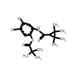 CC(C)(C)C(=O)Sc1cc(Cl)c(Cl)cc1NC(=O)C1C(C)(C)C1(C)C